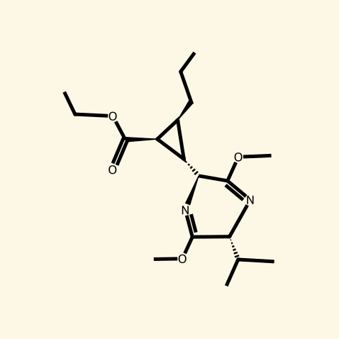 CCC[C@@H]1[C@H](C(=O)OCC)[C@H]1[C@@H]1N=C(OC)[C@@H](C(C)C)N=C1OC